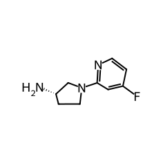 N[C@H]1CCN(c2cc(F)ccn2)C1